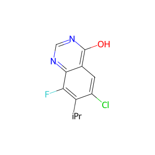 CC(C)c1c(Cl)cc2c(O)ncnc2c1F